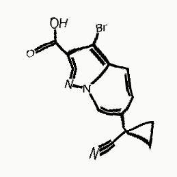 N#CC1(c2ccc3c(Br)c(C(=O)O)nn3c2)CC1